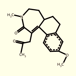 COc1ccc2c(c1)CCC1CCN(C)C(=O)C(CC(C)=O)=C21